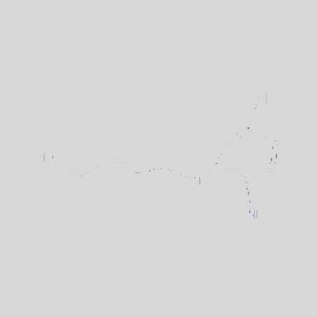 CCCCCNc1cc(C)ccc1N